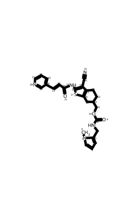 Cn1cccc1CNC(=O)OCC1CCc2c(sc(NC(=O)/C=C/c3cccnc3)c2C#N)C1